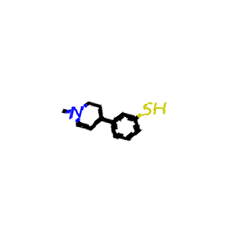 CN1CCC(c2cccc(S)c2)CC1